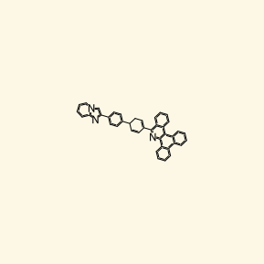 C1=CC(c2ccc(-c3cn4ccccc4n3)cc2)CC=C1c1nc2c3ccccc3c3ccccc3c2c2ccccc12